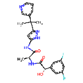 C[C@H](NC(=O)[C@@H](O)c1cc(F)cc(F)c1)C(=O)Nc1cc(C(C)(C)c2cccnc2)n[nH]1